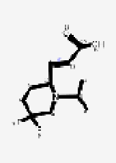 CC(C)N1CC(F)(F)CCC1/C=C/C(=O)O